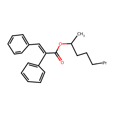 CC(C)CCCC(C)OC(=O)C(=Cc1ccccc1)c1ccccc1